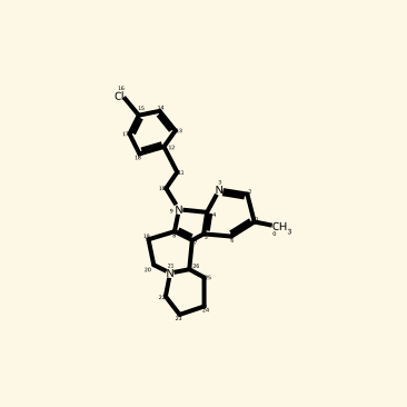 Cc1cnc2c(c1)c1c(n2CCc2ccc(Cl)cc2)CCN2CCCCC12